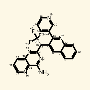 Nc1nc([C@@H](c2cc3ccccc3nc2-c2cccnc2)C(F)(F)F)nc2cccnc12